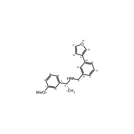 COc1cccc([C@@H](C)NCc2cccc(-c3ccoc3)c2)c1